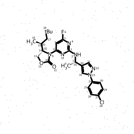 C[C@H](Nc1nc(F)cc(N2C(=O)OC[C@@H]2[C@@H](C)CC(C)(C)C)n1)c1cnn(-c2ccc(Cl)cc2)c1